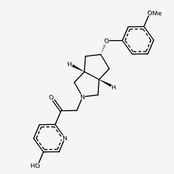 COc1cccc(O[C@@H]2C[C@@H]3CN(CC(=O)c4ccc(O)cn4)C[C@@H]3C2)c1